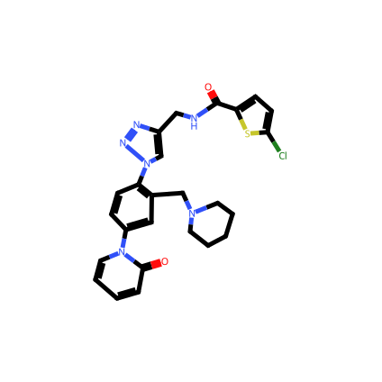 O=C(NCc1cn(-c2ccc(-n3ccccc3=O)cc2CN2CCCCC2)nn1)c1ccc(Cl)s1